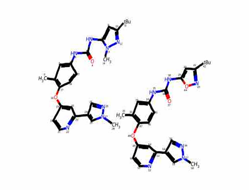 Cc1cc(NC(=O)Nc2cc(C(C)(C)C)nn2C)ccc1Oc1ccnc(-c2cnn(C)c2)c1.Cc1cc(NC(=O)Nc2cc(C(C)(C)C)no2)ccc1Oc1ccnc(-c2cnn(C)c2)c1